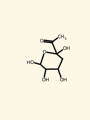 CC(=O)C1(O)CC(O)C(O)C(O)O1